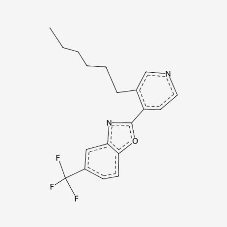 CCCCCCc1cnccc1-c1nc2cc(C(F)(F)F)ccc2o1